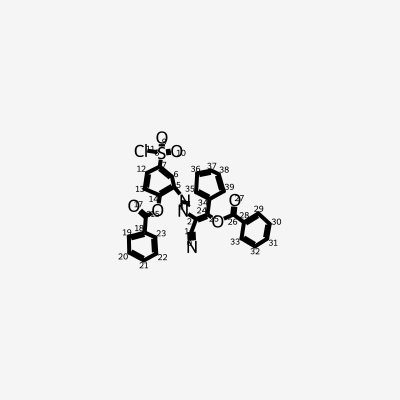 N#CC(/N=N/c1cc(S(=O)(=O)Cl)ccc1OC(=O)c1ccccc1)=C(\OC(=O)c1ccccc1)c1ccccc1